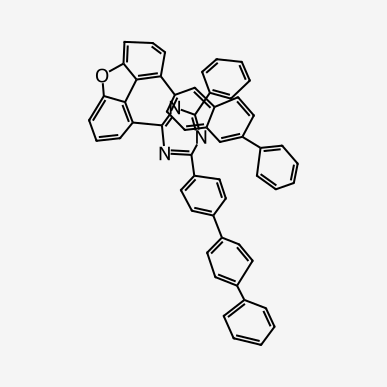 c1ccc(-c2ccc(-c3ccc(-c4nc(-c5ccccc5)nc(-c5cccc6oc7cccc(-c8ccc9cc(-c%10ccccc%10)ccc9c8)c7c56)n4)cc3)cc2)cc1